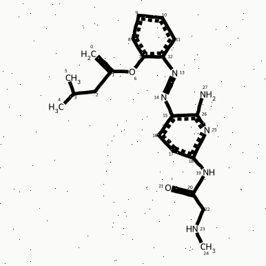 C=C(CC(C)C)Oc1ccccc1/N=N/c1ccc(NC(=O)CNC)nc1N